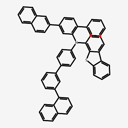 c1ccc(-c2ccc(-c3ccc4ccccc4c3)cc2N(c2ccc(-c3cccc(-c4cccc5ccccc45)c3)cc2)c2cccc3c2sc2ccccc23)cc1